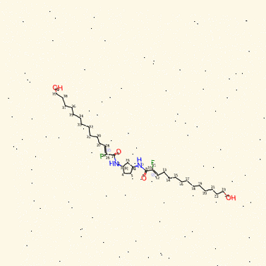 O=C(N[C@@H]1CC[C@H](NC(=O)/C(F)=C/CCCCCCCCCCCO)C1)/C(F)=C/CCCCCCCCCCCO